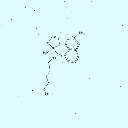 CC1(N)CC=CO1.NCCCCCC(=O)O.Nc1ccc2ccccc2c1